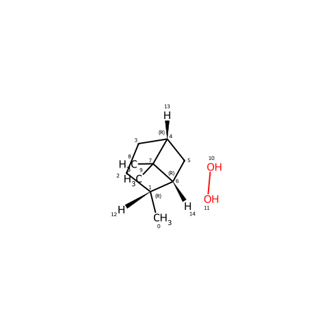 C[C@@H]1CC[C@@H]2C[C@H]1C2(C)C.OO